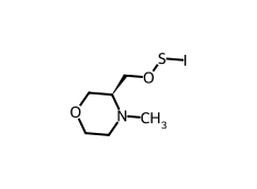 CN1CCOC[C@H]1COSI